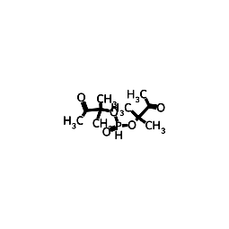 CC(=O)C(C)(C)O[PH](=O)OC(C)(C)C(C)=O